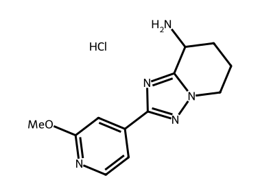 COc1cc(-c2nc3n(n2)CCCC3N)ccn1.Cl